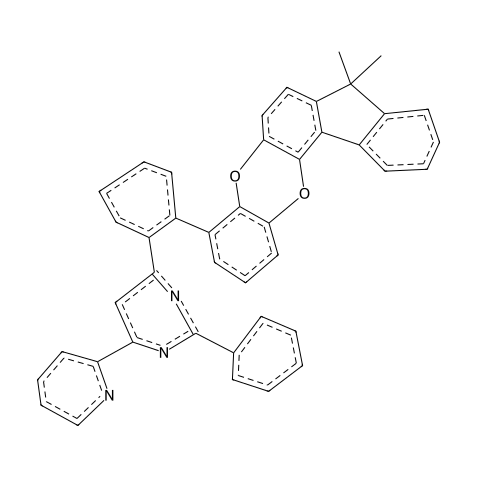 CC1(C)c2ccccc2-c2c1ccc1c2Oc2cccc(-c3ccccc3-c3cc(-c4ccccn4)nc(-c4ccccc4)n3)c2O1